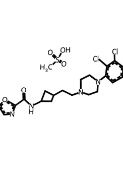 CS(=O)(=O)O.O=C(NC1CC(CCN2CCN(c3cccc(Cl)c3Cl)CC2)C1)c1ncco1